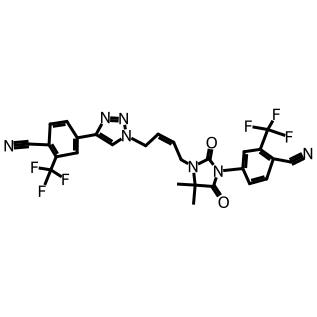 CC1(C)C(=O)N(c2ccc(C#N)c(C(F)(F)F)c2)C(=O)N1C/C=C\Cn1cc(-c2ccc(C#N)c(C(F)(F)F)c2)nn1